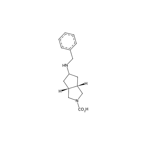 O=C(O)N1C[C@H]2CC(NCc3ccccc3)C[C@H]2C1